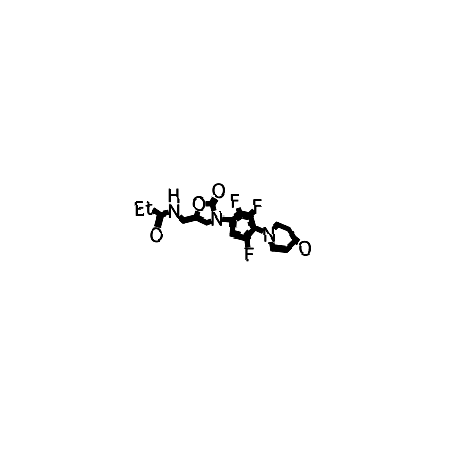 CCC(=O)NCC1CN(c2cc(F)c(N3C=CC(=O)CC3)c(F)c2F)C(=O)O1